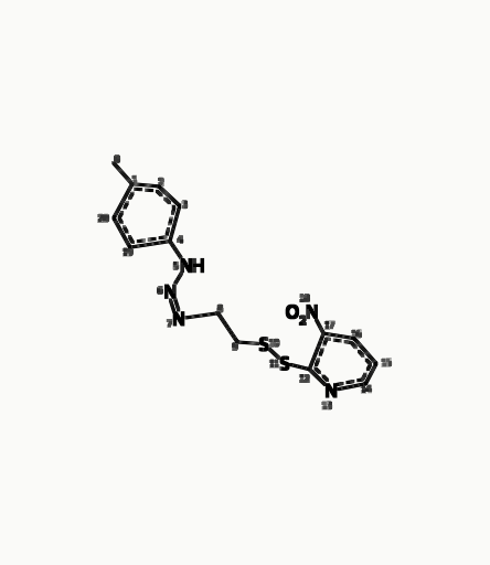 Cc1ccc(N/N=N\CCSSc2ncccc2[N+](=O)[O-])cc1